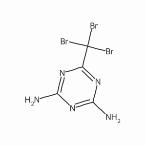 Nc1nc(N)nc(C(Br)(Br)Br)n1